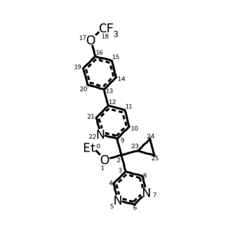 CCOC(c1cncnc1)(c1ccc(-c2ccc(OC(F)(F)F)cc2)cn1)C1CC1